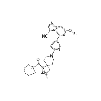 CCOc1cc(-c2ccc(N3CCC(CN(C)C)(NC(=O)N4CCCCC4)CC3)nc2)c2c(C#N)cnn2c1